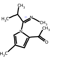 C/N=C(/C(C)C)n1cc(C)cc1C(C)=O